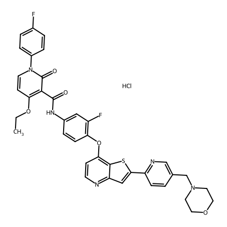 CCOc1ccn(-c2ccc(F)cc2)c(=O)c1C(=O)Nc1ccc(Oc2ccnc3cc(-c4ccc(CN5CCOCC5)cn4)sc23)c(F)c1.Cl